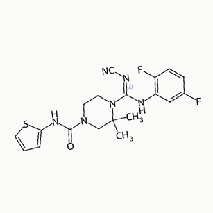 CC1(C)CN(C(=O)Nc2cccs2)CCN1/C(=N\C#N)Nc1cc(F)ccc1F